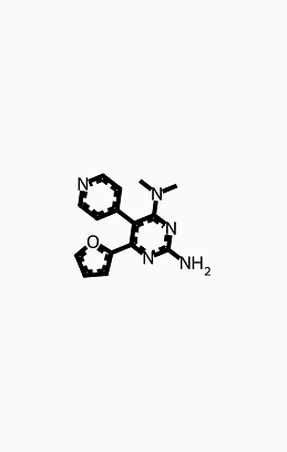 CN(C)c1nc(N)nc(-c2ccco2)c1-c1ccncc1